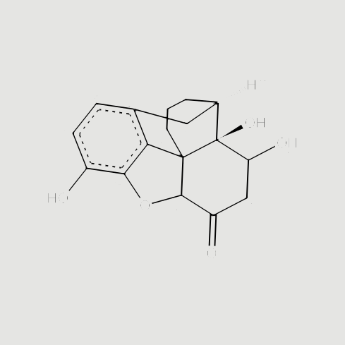 O=C1CC(O)[C@@]2(O)[C@@H]3CCCC24c2c(ccc(O)c2OC14)C3